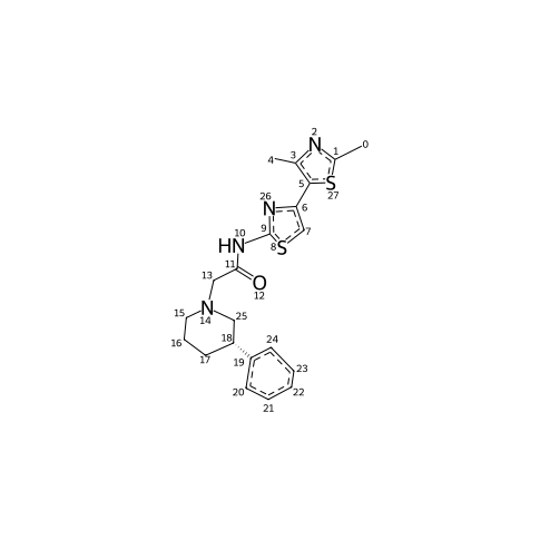 Cc1nc(C)c(-c2csc(NC(=O)CN3CCC[C@@H](c4ccccc4)C3)n2)s1